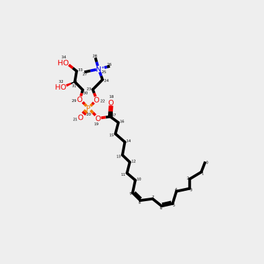 CCCCC/C=C\C/C=C\CCCCCCCC(=O)OP(=O)(OCC[N+](C)(C)C)OC[C@@H](O)CO